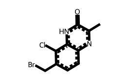 Cc1nc2ccc(CBr)c(Cl)c2[nH]c1=O